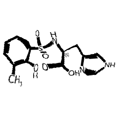 Cc1cccc(S(=O)(=O)N[C@@H](Cc2c[nH]cn2)C(=O)O)c1O